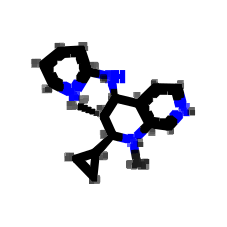 CC(=O)N1c2cnccc2[C@H](Nc2ccccn2)[C@@H](C)[C@@H]1C1CC1